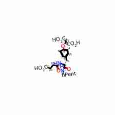 CCCCCNC(=O)[C@@H](Cc1ccc(OC(C(=O)O)C(=O)O)cc1)NC(=O)CCC(=O)O